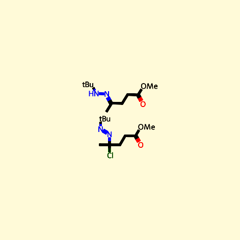 COC(=O)CCC(C)(Cl)N=NC(C)(C)C.COC(=O)CCC(C)=NNC(C)(C)C